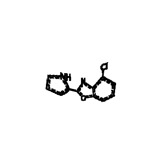 Clc1cccc2oc(-c3ccc[nH]3)nc12